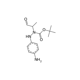 CC(C=O)N(Nc1ccc(N)cc1)C(=O)OC(C)(C)C